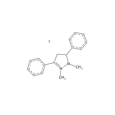 CN1C(c2ccccc2)CC(c2ccccc2)=[N+]1C.[I-]